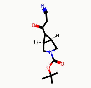 CC(C)(C)OC(=O)N1C[C@@H]2C(C(=O)CC#N)[C@@H]2C1